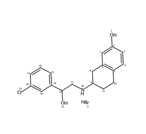 Br.Oc1ccc2c(c1)CC(NCC(O)c1cccc(Cl)c1)CC2